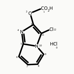 Cl.O=C(O)Oc1nc2ccccn2c1Cl